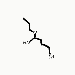 CCCOC(O)CCCO